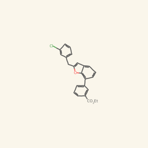 CCOC(=O)c1cccc(-c2cccc3cc(Cc4cccc(Cl)c4)oc23)c1